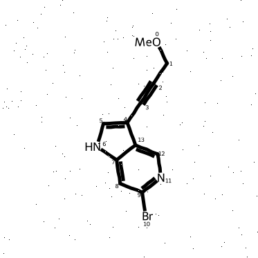 COCC#Cc1c[nH]c2cc(Br)ncc12